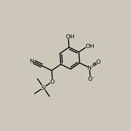 C[Si](C)(C)OC(C#N)c1cc(O)c(O)c([N+](=O)[O-])c1